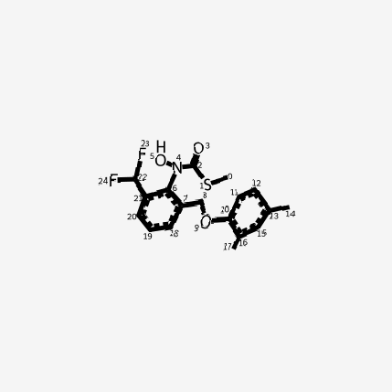 CSC(=O)N(O)c1c(COc2ccc(C)cc2C)cccc1C(F)F